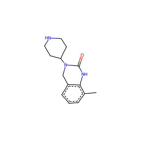 Cc1cccc2c1NC(=O)N(C1CCNCC1)C2